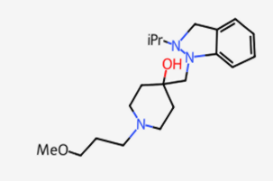 COCCCN1CCC(O)(CN2c3ccccc3CN2C(C)C)CC1